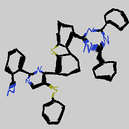 N#Cc1ccccc1-c1ncc(Sc2ccccc2)c(-c2cccc3c2sc2cccc(-c4nc(-c5ccccc5)nc(-c5ccccc5)n4)c23)n1